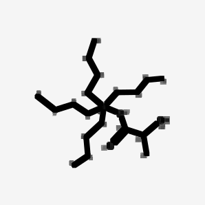 CCCCP(CCCC)(CCCC)(CCCC)OC(=O)C(C)O